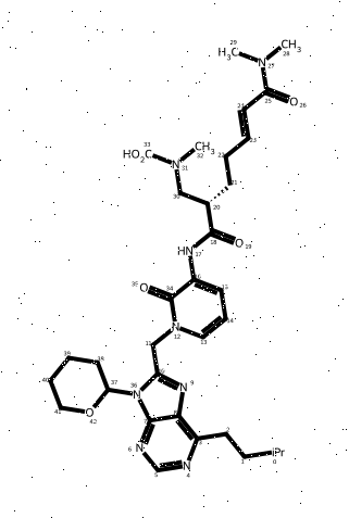 CC(C)CCc1ncnc2c1nc(Cn1cccc(NC(=O)[C@@H](CC/C=C/C(=O)N(C)C)CN(C)C(=O)O)c1=O)n2C1CCCCO1